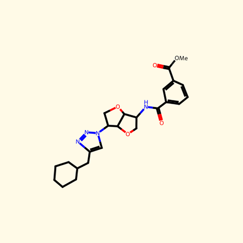 COC(=O)c1cccc(C(=O)NC2COC3C2OCC3n2cc(CC3CCCCC3)nn2)c1